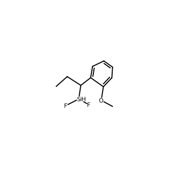 CCC(c1ccccc1OC)[SiH](F)F